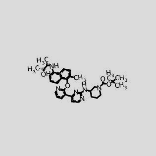 Cc1ccc2c(N[C@H](C)[C@@H](C)O)cccc2c1Oc1ncccc1-c1ccnc(NC2CCCN(C(=O)OC(C)(C)C)C2)n1